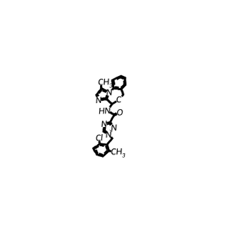 Cc1cccc(Cl)c1Cn1cnc(C(=O)NC2CCc3ccccc3-n3c(C)cnc32)n1